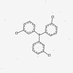 Clc1cccc(P(c2cccc(Cl)c2)c2cccc(Cl)c2)c1